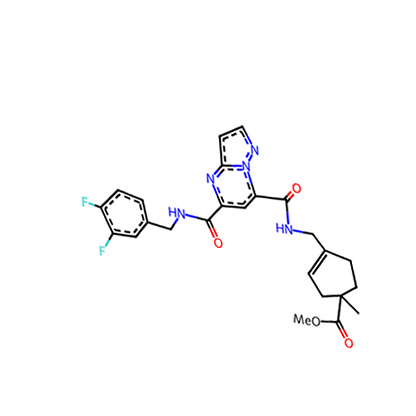 COC(=O)C1(C)CC=C(CNC(=O)c2cc(C(=O)NCc3ccc(F)c(F)c3)nc3ccnn23)CC1